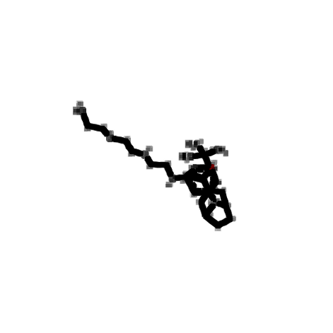 CC(C)(C)OC(=O)C1CC2CCC(C1)N2c1ccnc(OCCOCCOCCO)c1